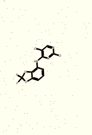 FC1(F)Oc2cccc(Nc3nc(Cl)ncc3Cl)c2O1